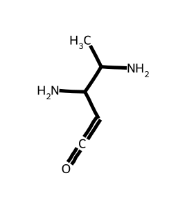 CC(N)C(N)C=C=O